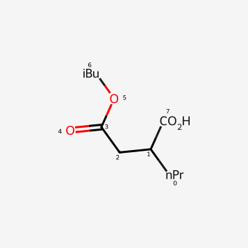 CCCC(CC(=O)OC(C)CC)C(=O)O